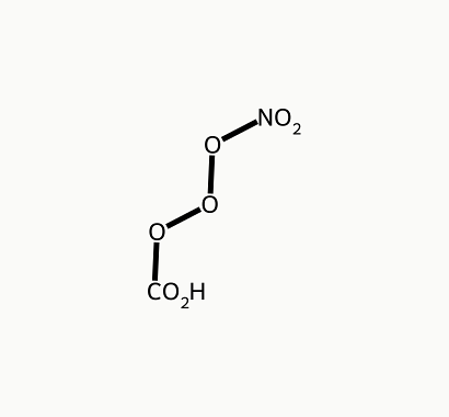 O=C(O)OOO[N+](=O)[O-]